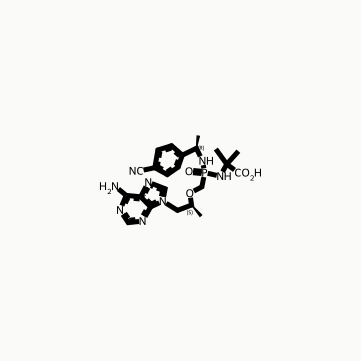 C[C@@H](Cn1cnc2c(N)ncnc21)OCP(=O)(N[C@H](C)c1ccc(C#N)cc1)NC(C)(C)C(=O)O